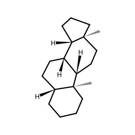 C[C@@]12CCC[C@H]1[C@H]1CC[C@H]3CCCC[C@]3(C)[C@H]1CC2